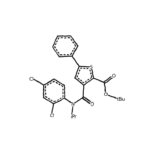 CC(C)N(C(=O)c1cc(-c2ccccc2)sc1C(=O)OC(C)(C)C)c1ccc(Cl)cc1Cl